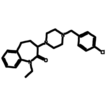 CCN1C(=O)C(N2CCN(Cc3ccc(Cl)cc3)CC2)CCc2ccccc21